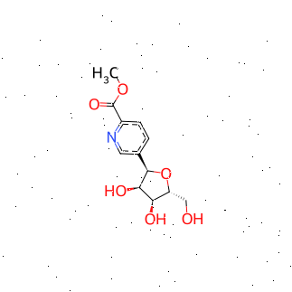 COC(=O)c1ccc([C@H]2O[C@H](CO)[C@@H](O)[C@H]2O)cn1